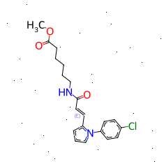 COC(=O)CCCCCNC(=O)/C=C/c1cccn1-c1ccc(Cl)cc1